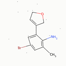 Cc1cc(Br)cc(C2=CCOC2)c1N